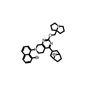 Brc1cccc2cccc(N3CCc4c(nc(OCC56CCCN5CCC6)nc4C4CC5CCC(C4)N5)C3)c12